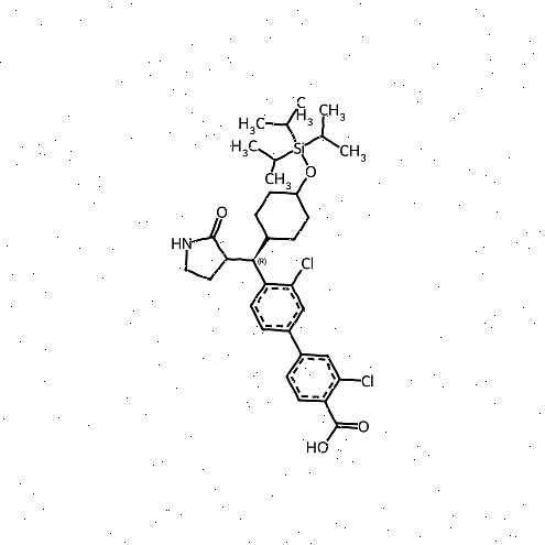 CC(C)[Si](OC1CCC([C@@H](c2ccc(-c3ccc(C(=O)O)c(Cl)c3)cc2Cl)C2CCNC2=O)CC1)(C(C)C)C(C)C